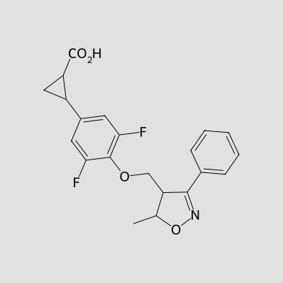 CC1ON=C(c2ccccc2)C1COc1c(F)cc(C2CC2C(=O)O)cc1F